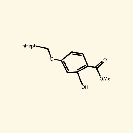 CCCCCCCCOc1ccc(C(=O)OC)c(O)c1